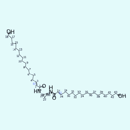 O=C(/C=C/CCCCCCCCCCCCCCCO)N[C@H]1C[C@H]1NC(=O)/C=C/CCCCCCCCCCCCCCCO